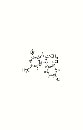 Cc1cc(Br)c2cc(C)c(-c3ccc(Cl)cc3Cl)n2n1